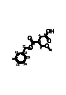 COCC(CC(=O)O)C(=O)OCc1ccccc1